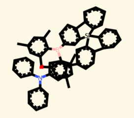 Cc1cc(C)c(B(c2ccc3c(c2)[Si]2(c4ccccc4-3)c3ccccc3-c3ccc(-c4ccc(N(c5ccccc5)c5ccccc5)cc4)cc32)c2c(C)cc(C)cc2C)c(C)c1